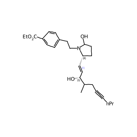 CCCC#CCC(C)[C@H](O)/C=C/[C@H]1CCC(O)N1CCc1ccc(C(=O)OCC)cc1